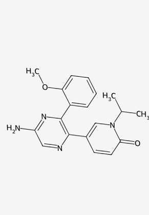 COc1ccccc1-c1nc(N)cnc1-c1ccc(=O)n(C(C)C)c1